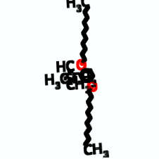 C#C[Si](C)(C)C.CCCCCCCCCCCCOc1ccc(OCCCCCCCCCCCC)cc1